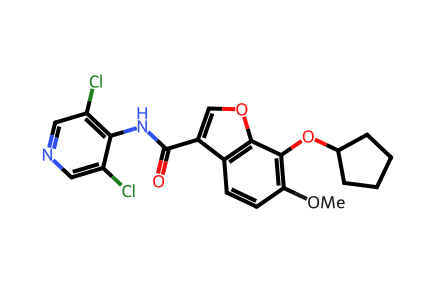 COc1ccc2c(C(=O)Nc3c(Cl)cncc3Cl)coc2c1OC1CCCC1